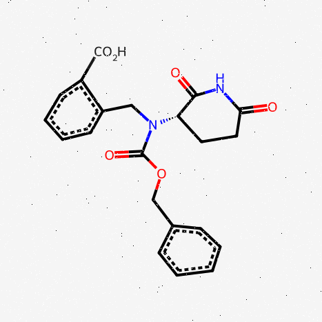 O=C1CC[C@H](N(Cc2ccccc2C(=O)O)C(=O)OCc2ccccc2)C(=O)N1